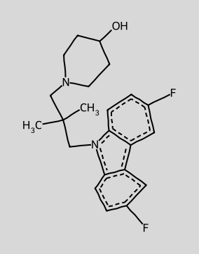 CC(C)(CN1CCC(O)CC1)Cn1c2ccc(F)cc2c2cc(F)ccc21